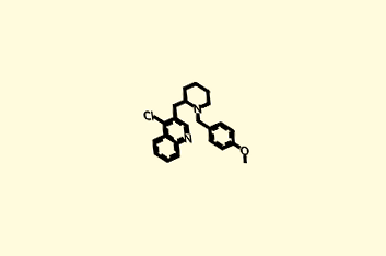 COc1ccc(CN2CCCCC2Cc2cnc3ccccc3c2Cl)cc1